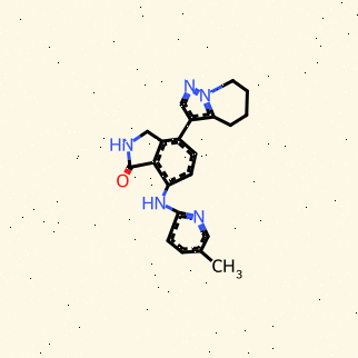 Cc1ccc(Nc2ccc(-c3cnn4c3CCCC4)c3c2C(=O)NC3)nc1